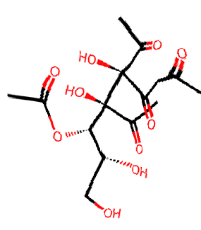 CC(=O)O[C@@H]([C@H](O)CO)[C@@](O)(C(C)=O)[C@](O)(C(C)=O)C(=O)C(C)=O